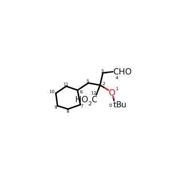 CC(C)(C)OC(CC=O)(CC1CCCCC1)C(=O)O